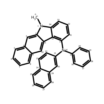 Cn1c2cc3ccccc3cc2c2c(N(c3ccccc3)c3ccc4ccccc4c3)cccc21